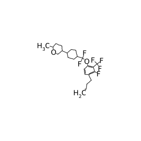 C=CCCc1ccc(OC(F)(F)C2CCC(C3CCC(C)OC3)CC2)c(C(F)(F)F)c1F